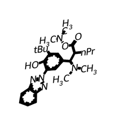 CCCC(C(=O)ON(C)C)C(c1cc(-n2nc3ccccc3n2)c(O)c(C(C)(C)C)c1)N(C)C